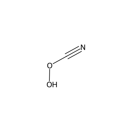 N#COO